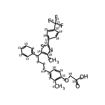 Cc1cc(SCCC(c2ccccc2)c2sc(-c3ccc(C(F)(F)F)cc3)nc2C)ccc1OCC(=O)O